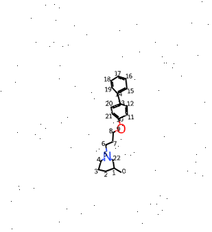 CC1CCCN(CCCOc2ccc(-c3ccccc3)cc2)C1